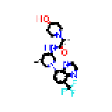 C[C@H]1C[C@@H](NC(=O)[C@@H](C)N2CCC(O)CC2)CN(c2ccc(C(F)(F)F)c3nccnc23)C1